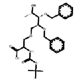 C[C@H](O)[C@H](OCc1ccccc1)[C@H](COCC(NC(=O)OC(C)(C)C)C(=O)O)OCc1ccccc1